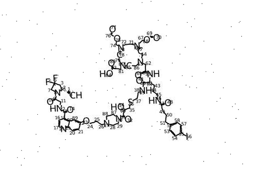 C#C[C@H]1CC(F)(F)CN1C(=O)CNC(=O)c1ccnc2ccc(OCCCN3CCN(C(=O)[C@H](O)CSCCNC(=O)[C@H](CCCNC(=O)CCCc4ccc(I)cc4)NC(=O)CN4CCN(COC=O)CCN(COC=O)CCN(CC(=O)O)CC4)CC3)cc12